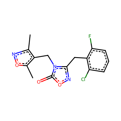 Cc1noc(C)c1Cn1c(Cc2c(F)cccc2Cl)noc1=O